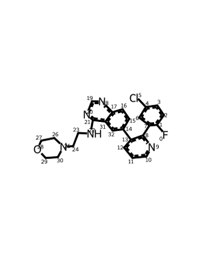 Fc1ccc(Cl)cc1-c1ncccc1-c1ccc2ncnc(NCCN3CCOCC3)c2c1